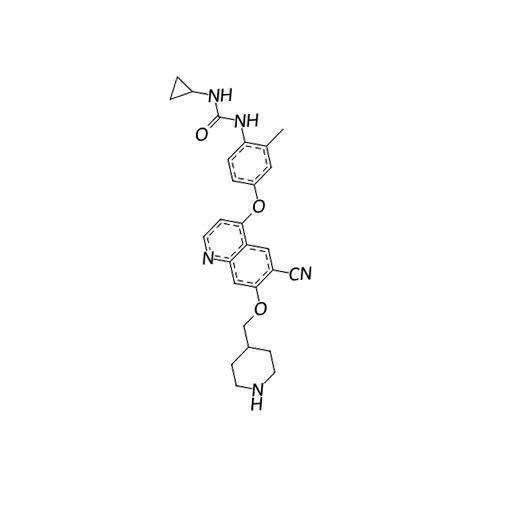 Cc1cc(Oc2ccnc3cc(OCC4CCNCC4)c(C#N)cc23)ccc1NC(=O)NC1CC1